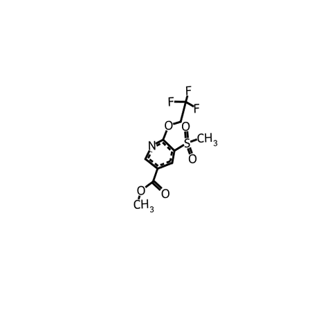 COC(=O)c1cnc(OCC(F)(F)F)c(S(C)(=O)=O)c1